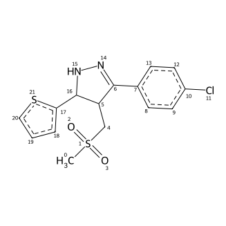 CS(=O)(=O)CC1C(c2ccc(Cl)cc2)=NNC1c1cccs1